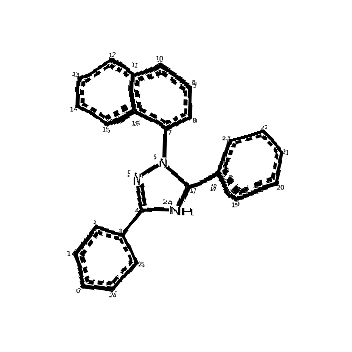 c1ccc(C2=NN(c3cccc4ccccc34)C(c3ccccc3)N2)cc1